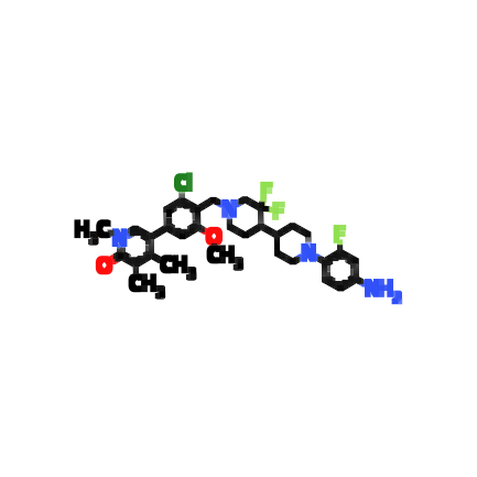 COc1cc(-c2cn(C)c(=O)c(C)c2C)cc(Cl)c1CN1CCC(C2CCN(c3ccc(N)cc3F)CC2)C(F)(F)C1